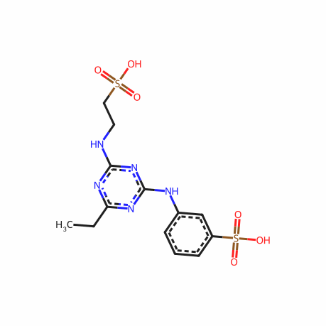 CCc1nc(NCCS(=O)(=O)O)nc(Nc2cccc(S(=O)(=O)O)c2)n1